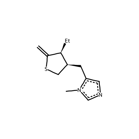 C=C1SC[C@H](Cc2cncn2C)[C@@H]1CC